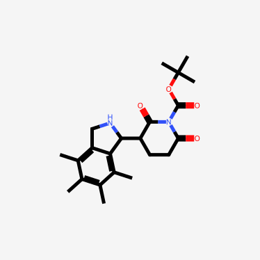 Cc1c(C)c(C)c2c(c1C)CNC2C1CCC(=O)N(C(=O)OC(C)(C)C)C1=O